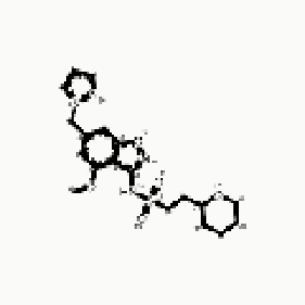 COc1cc(Cn2cccn2)cc2onc(NS(=O)(=O)CCC3CCCCO3)c12